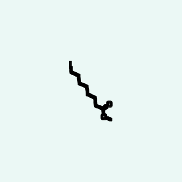 COC(=O)CCCCCCCI